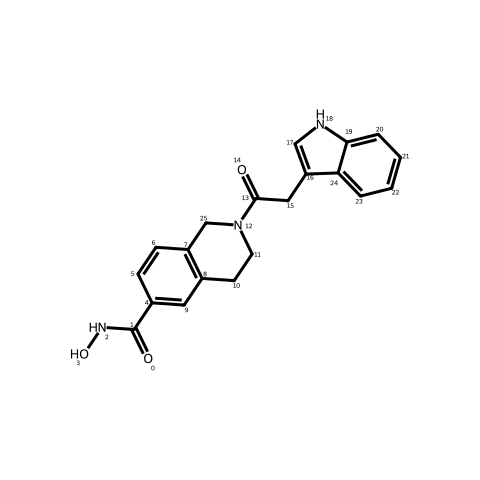 O=C(NO)c1ccc2c(c1)CCN(C(=O)Cc1c[nH]c3ccccc13)C2